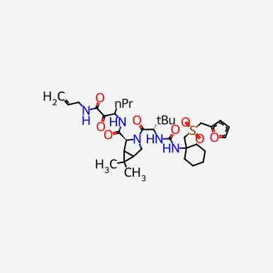 C=CCNC(=O)C(=O)C(CCC)NC(=O)[C@@H]1C2C(CN1C(=O)[C@@H](NC(=O)NC1(CS(=O)(=O)Cc3ccco3)CCCCC1)C(C)(C)C)C2(C)C